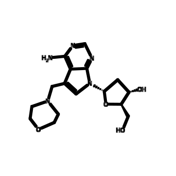 Nc1ncnc2c1c(CN1CCOCC1)cn2[C@@H]1C[C@H](O)[C@@H](CO)O1